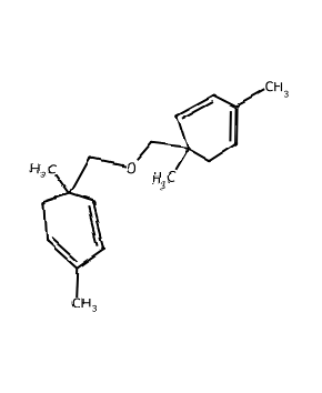 CC1=CCC(C)(COCC2(C)C=CC(C)=CC2)C=C1